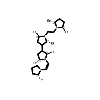 CC[C@@H]1CCCP1/C=C\P1[C@H](CC)CC(C2C[C@@H](CC)P(CCP3[C@H](CC)CC[C@H]3CC)[C@@H]2CC)[C@H]1CC